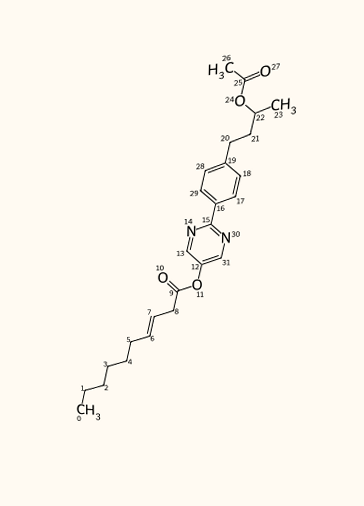 CCCCCCC=CCC(=O)Oc1cnc(-c2ccc(CCC(C)OC(C)=O)cc2)nc1